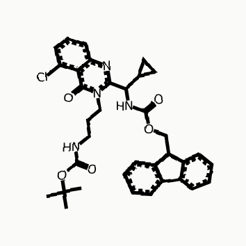 CC(C)(C)OC(=O)NCCCn1c(C(NC(=O)OCC2c3ccccc3-c3ccccc32)C2CC2)nc2cccc(Cl)c2c1=O